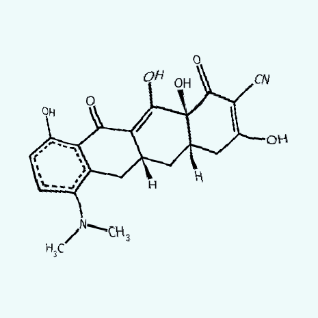 CN(C)c1ccc(O)c2c1C[C@H]1C[C@H]3CC(O)=C(C#N)C(=O)[C@@]3(O)C(O)=C1C2=O